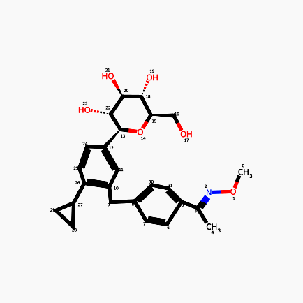 CON=C(C)c1ccc(Cc2cc([C@@H]3O[C@H](CO)[C@@H](O)[C@H](O)[C@H]3O)ccc2C2CC2)cc1